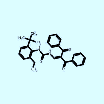 CCc1cccc(C(C)(C)C)c1NC(=S)NC=C(C(=O)c1ccccc1)C(=O)c1ccccc1